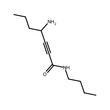 CCCCNC(=O)C#CC(N)CCC